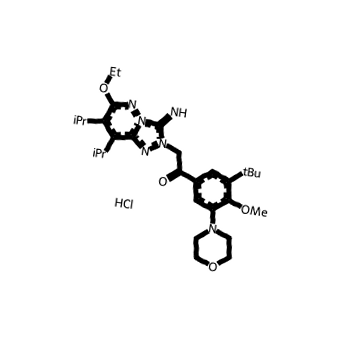 CCOc1nn2c(=N)n(CC(=O)c3cc(N4CCOCC4)c(OC)c(C(C)(C)C)c3)nc2c(C(C)C)c1C(C)C.Cl